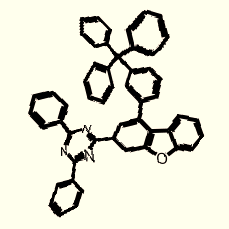 C1=C(c2cccc(C(c3ccccc3)(c3ccccc3)c3ccccc3)c2)c2c(oc3ccccc23)CC1c1nc(-c2ccccc2)nc(-c2ccccc2)n1